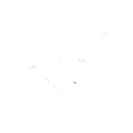 CCNC1=N[C@@H]2[C@@H](O)[C@H](O)[C@@H](CNCCCO)O[C@@H]2S1